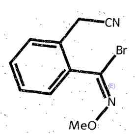 CO/N=C(/Br)c1ccccc1CC#N